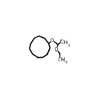 CCOC(C)OC1CCCCCCCCCC1